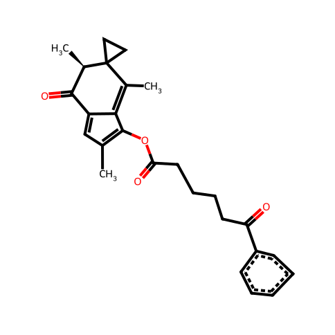 CC1=C(OC(=O)CCCCC(=O)c2ccccc2)C2=C(C)C3(CC3)[C@H](C)C(=O)C2=C1